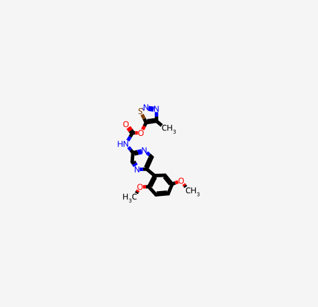 COc1ccc(OC)c(-c2cnc(NC(=O)Oc3snnc3C)cn2)c1